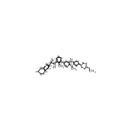 CCN1CCN(c2ccc(Nc3cc(-c4cccc(NC(=O)c5cc6c(s5)CCCC6)c4C)nnc3OC)nc2)CC1